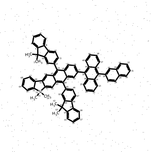 CC1(C)c2ccccc2-c2ccc(-c3c4ccc(-c5c6ccccc6c(-c6ccc7ccccc7c6)c6ccccc56)cc4c(-c4ccc5c(c4)C(C)(C)c4ccccc4-5)c4cc5c(cc34)-c3ccccc3[Si]5(C)C)cc21